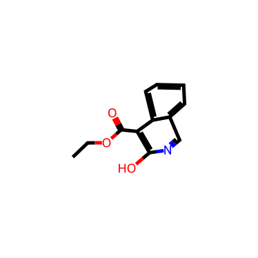 CCOC(=O)c1c(O)ncc2ccccc12